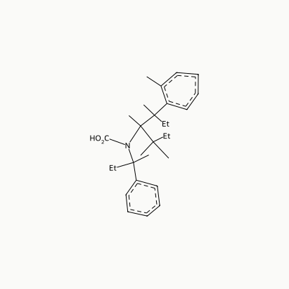 CCC(C)(c1ccccc1)N(C(=O)O)C(C)(C(C)(C)CC)C(C)(CC)c1ccccc1C